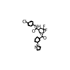 O=C(Nc1ccc(Cl)cc1)C1CN(C(=O)c2cccc(-n3cccn3)c2)CC(F)(F)C1